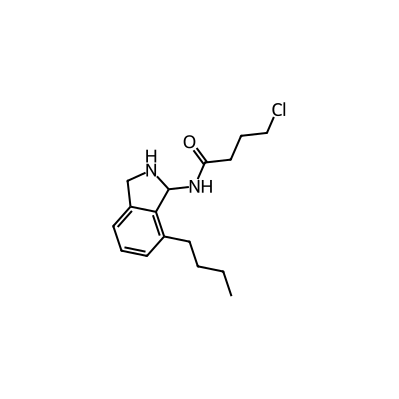 CCCCc1cccc2c1C(NC(=O)CCCCl)NC2